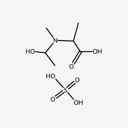 CC(O)N(C)C(C)C(=O)O.O=S(=O)(O)O